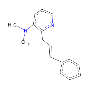 CN(C)c1cccnc1CC=Cc1ccccc1